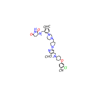 CN(Cc1cc(N2CCC(CN3CCCN(c4ccc(C=O)c(CN(C)C5CCC(=O)NC5=O)c4)CC3)CC2)ncc1C=O)C1CCC(Oc2ccc(C#N)c(Cl)c2)CC1